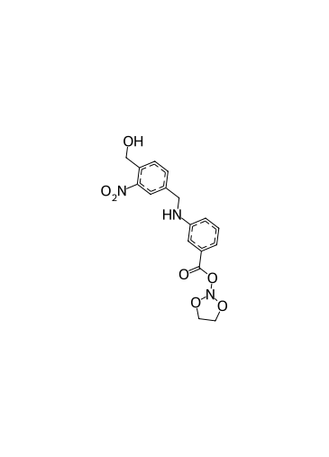 O=C(ON1OCCO1)c1cccc(NCc2ccc(CO)c([N+](=O)[O-])c2)c1